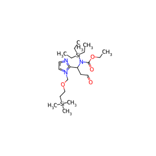 CCOC(=O)N(C(CC=O)c1nccn1COCC[Si](C)(C)C)[Si](CC)(CC)CC